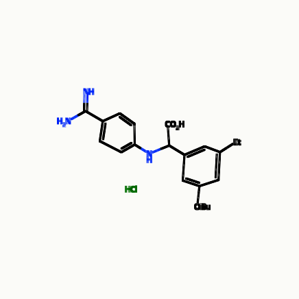 CCc1cc(OCC(C)C)cc(C(Nc2ccc(C(=N)N)cc2)C(=O)O)c1.Cl